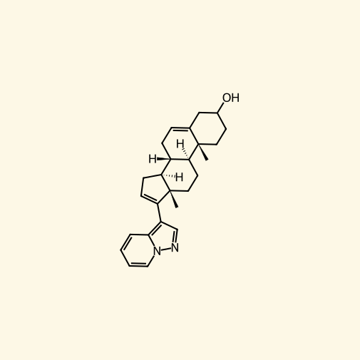 C[C@]12CCC(O)CC1=CC[C@@H]1[C@@H]2CC[C@]2(C)C(c3cnn4ccccc34)=CC[C@@H]12